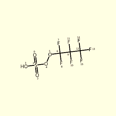 O=S(=O)(O)OOC(F)(F)C(F)(F)C(F)(F)F